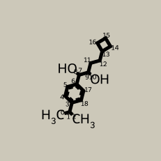 CC(C)c1ccc(C(O)C(O)CCC2CCC2)cc1